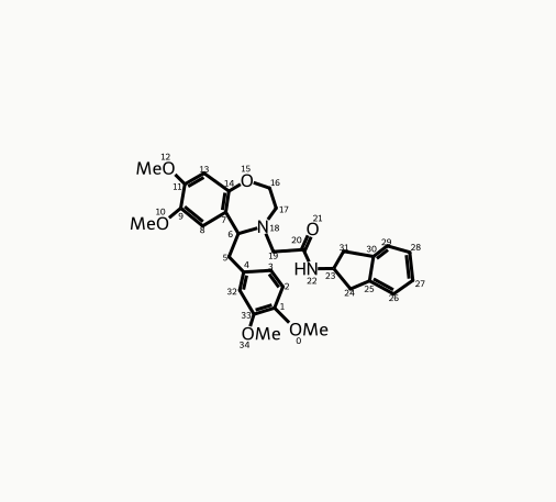 COc1ccc(CC2c3cc(OC)c(OC)cc3OCCN2CC(=O)NC2Cc3ccccc3C2)cc1OC